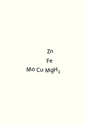 [Cu].[Fe].[MgH2].[Mo].[Zn]